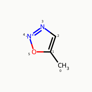 CC1=CN=[N+]O1